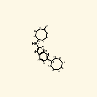 CC1CCCC(Bc2nc3ccc(C4CCCCCCC4)nc3o2)CCC1